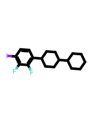 Fc1c(I)ccc(C2CCC(C3CCCCC3)CC2)c1F